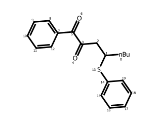 CCCCC(CC(=O)C(=O)c1ccccc1)Sc1ccccc1